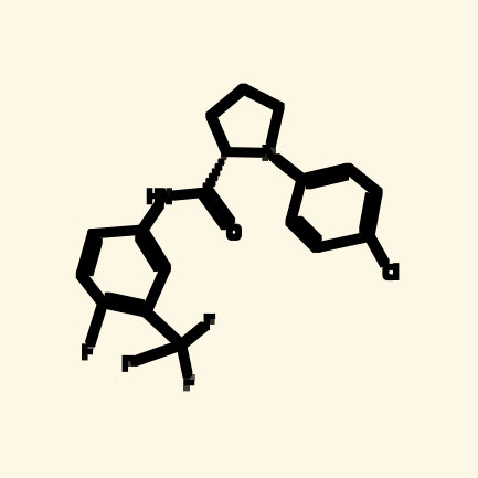 O=C(Nc1ccc(F)c(C(F)(F)F)c1)[C@@H]1CCCN1c1ccc(Cl)cc1